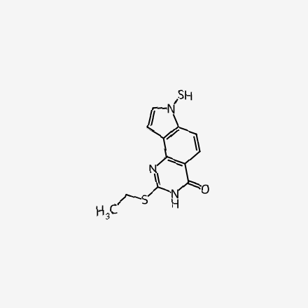 CCSc1nc2c(ccc3c2ccn3S)c(=O)[nH]1